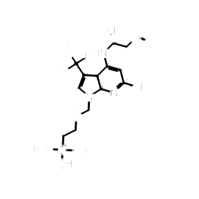 COC[C@@H](C)NC1=CC(Cl)=NC2C1C(C(F)(F)F)=CN2COCC[Si](C)(C)C